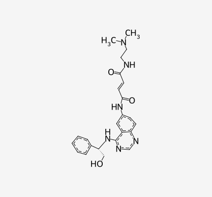 CN(C)CCNC(=O)/C=C/C(=O)Nc1ccc2ncnc(N[C@H](CO)c3ccccc3)c2c1